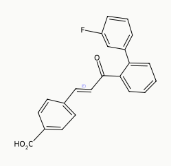 O=C(O)c1ccc(/C=C/C(=O)c2ccccc2-c2cccc(F)c2)cc1